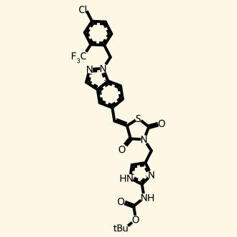 CC(C)(C)OC(=O)Nc1nc(CN2C(=O)S/C(=C\c3ccc4c(cnn4Cc4ccc(Cl)cc4C(F)(F)F)c3)C2=O)c[nH]1